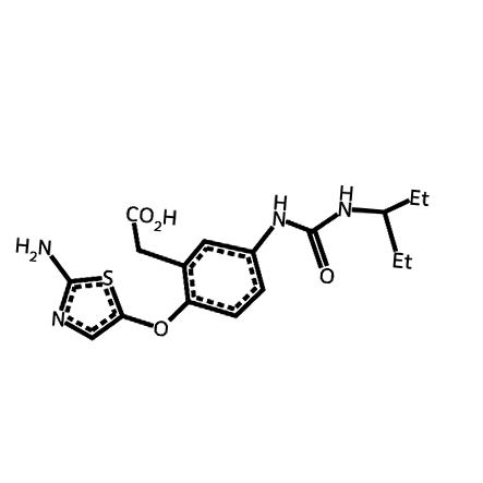 CCC(CC)NC(=O)Nc1ccc(Oc2cnc(N)s2)c(CC(=O)O)c1